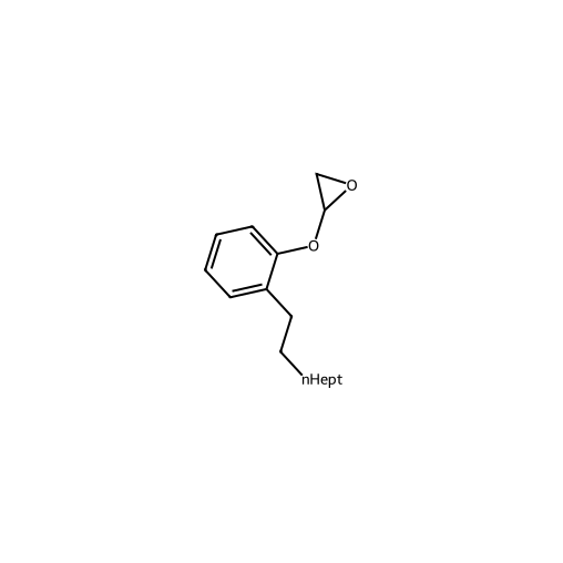 CCCCCCCCCc1ccccc1OC1CO1